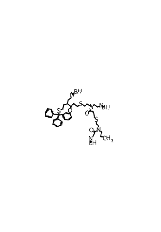 B=NCCC(CCSC(c1ccccc1)(c1ccccc1)c1ccccc1)C(=O)CCSCCN(CCN=B)C(=O)CCSCCN(CC=C)C(=O)CN=B